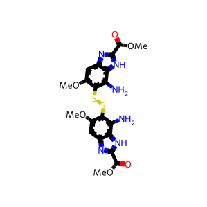 COC(=O)c1nc2cc(OC)c(SSc3c(OC)cc4nc(C(=O)OC)[nH]c4c3N)c(N)c2[nH]1